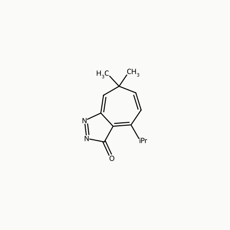 CC(C)C1=C2C(=O)N=NC2=CC(C)(C)C=C1